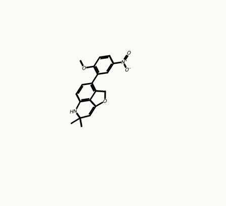 COc1ccc([N+](=O)[O-])cc1-c1ccc2c3c1COC3=CC(C)(C)N2